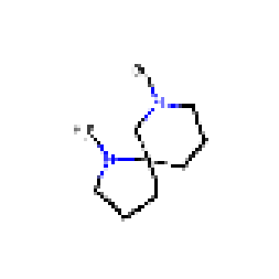 BN1CCCC12CCCN(C(C)CC)C2